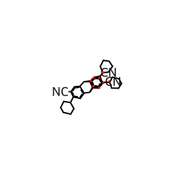 N#Cc1cc2c(cc1C1CCCCC1)C1c3cc(C#N)c(C4CCCCC4)cc3C2c2cc(C3CCCCC3)c(C#N)cc21